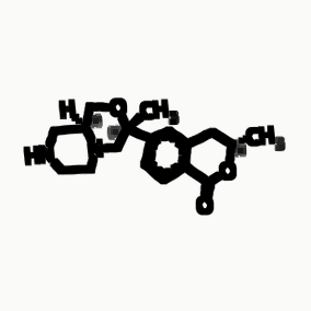 C[C@H]1Cc2cc([C@]3(C)CN4CCNC[C@H]4CO3)ccc2C(=O)O1